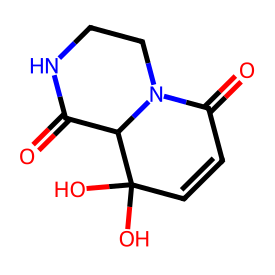 O=C1NCCN2C(=O)C=CC(O)(O)C12